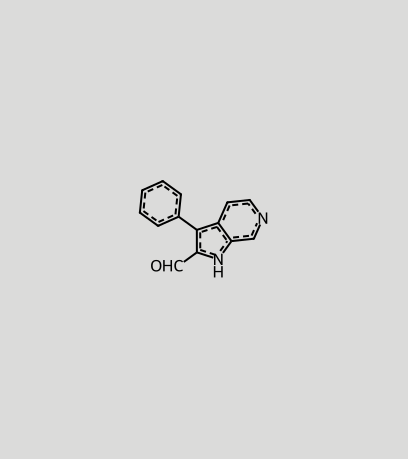 O=Cc1[nH]c2cnccc2c1-c1ccccc1